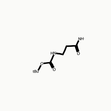 CC(C)(C)OC(=O)NCCC([NH])=O